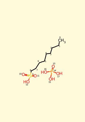 CCCCCCCCCS(=O)(=O)O.O=P(O)(O)O